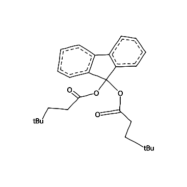 CC(C)(C)CCC(=O)OC1(OC(=O)CCC(C)(C)C)c2ccccc2-c2ccccc21